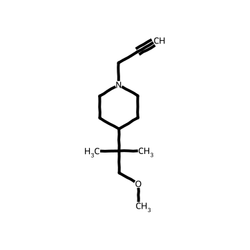 C#CCN1CCC(C(C)(C)COC)CC1